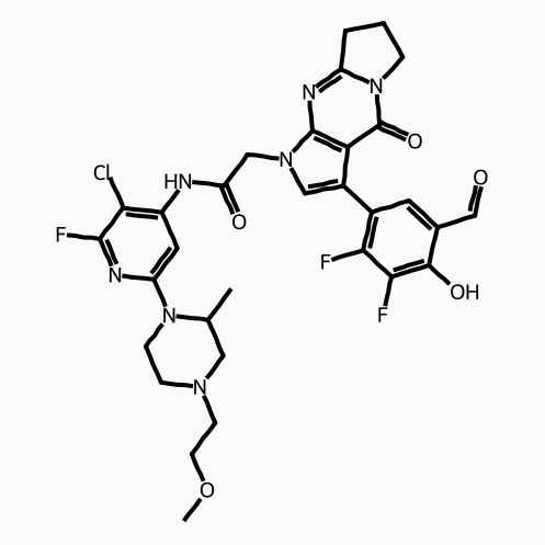 COCCN1CCN(c2cc(NC(=O)Cn3cc(-c4cc(C=O)c(O)c(F)c4F)c4c(=O)n5c(nc43)CCC5)c(Cl)c(F)n2)C(C)C1